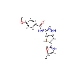 COc1ccc(C(=O)Nc2n[nH]c3cc(-c4ncc(C)o4)sc23)cc1